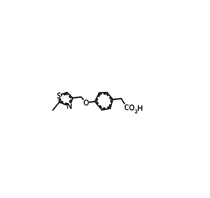 Cc1nc(COc2ccc(CC(=O)O)cc2)cs1